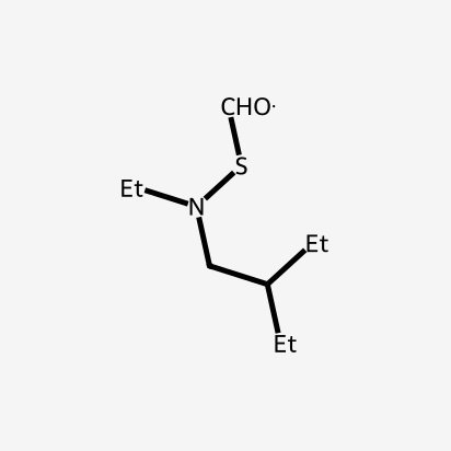 CCC(CC)CN(CC)S[C]=O